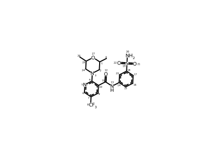 CC1CN(c2ncc(C(F)(F)F)cc2C(=O)Nc2cccc(S(N)(=O)=O)c2)CC(C)O1